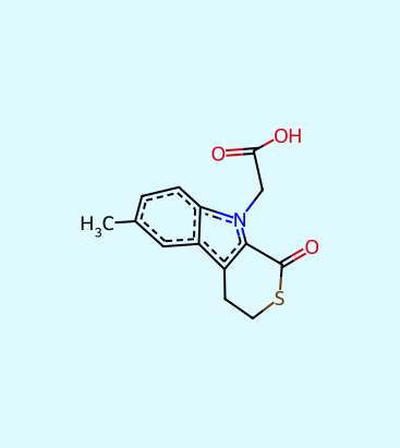 Cc1ccc2c(c1)c1c(n2CC(=O)O)C(=O)SCC1